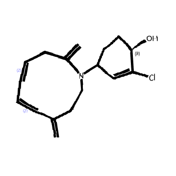 C=C1/C=C\C=C/CC(=C)N(C2C=C(Cl)[C@H](O)CC2)CC1